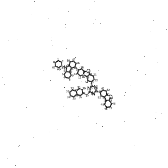 c1ccc(-n2c3ccccc3c3c(-c4ccc5c(c4)oc4ccc(-c6nc(Cc7ccc8ccccc8c7)nc(-c7ccc8oc9ccccc9c8c7)n6)cc45)cccc32)cc1